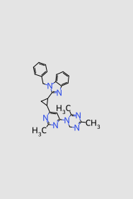 CC1=NCN(c2cc(C3CC3c3nc4ccccc4n3Cc3ccccc3)nc(C)n2)C(C)=N1